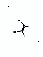 CC/C(=C(\F)C(C)CC)C(C)C